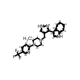 C[C@@H]1CN(Cc2c[nH]nc2-c2c[nH]c3ccccc23)CCN1c1ccc(C(F)(F)F)cn1